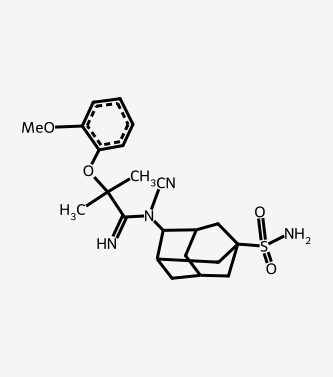 COc1ccccc1OC(C)(C)C(=N)N(C#N)C1C2CC3CC1CC(S(N)(=O)=O)(C3)C2